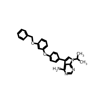 CC(C)n1cc(-c2ccc(Oc3cccc(OCc4ccccc4)c3)cc2)c2c(N)ncnc21